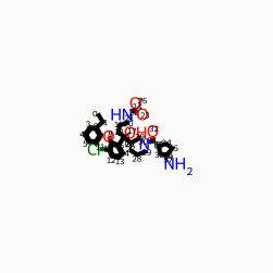 CCc1ccccc1Oc1c(Cl)cccc1[C@](O)(CCCNC(=O)OC)[C@@H]1CCCN(C(=O)[C@@H]2CC[C@H](N)C2)C1